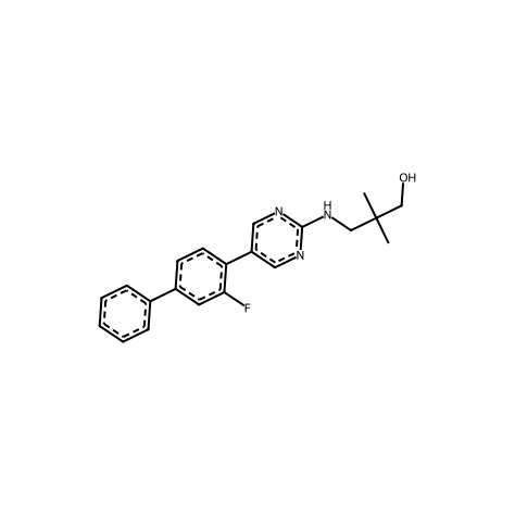 CC(C)(CO)CNc1ncc(-c2ccc(-c3ccccc3)cc2F)cn1